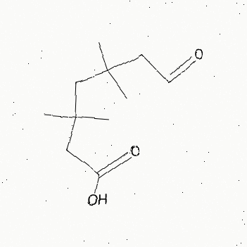 CC(C)(CC=O)CC(C)(C)CC(=O)O